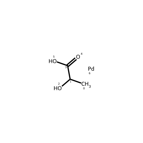 CC(O)C(=O)O.[Pd]